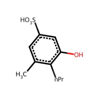 CCCc1c(C)cc(S(=O)(=O)O)cc1O